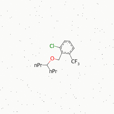 CCCC(CCC)OCc1c(Cl)cccc1C(F)(F)F